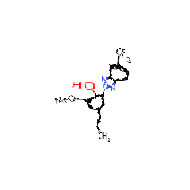 C=CCc1cc(OC)c(O)c(-n2nc3ccc(C(F)(F)F)cc3n2)c1